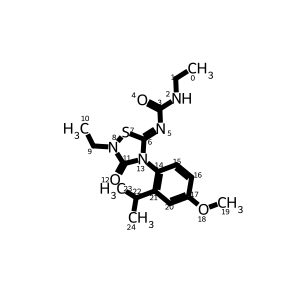 CCNC(=O)N=c1sn(CC)c(=O)n1-c1ccc(OC)cc1C(C)C